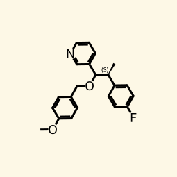 COc1ccc(COC(c2cccnc2)[C@@H](C)c2ccc(F)cc2)cc1